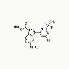 CCc1cc(-c2cn(C(=O)OC(C)(C)C)c3cnc(NC(C)=O)cc23)nc(C(C)(F)F)n1